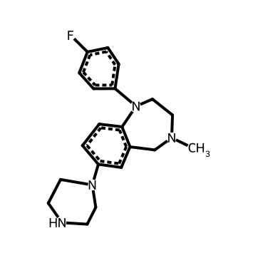 CN1CCN(c2ccc(F)cc2)c2ccc(N3CCNCC3)cc2C1